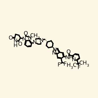 Cn1c(=O)n(C2CCC(=O)NC2=O)c2cccc(N3CCN(C[C@H]4CC[C@H](n5cc6cc(NC(=O)c7cccc(C(C)(C)F)n7)c(C(F)F)cc6n5)CC4)CC3)c21